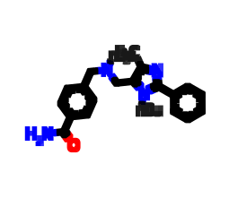 CCCCN(Cc1ccc(C(N)=O)cc1)Cc1c(C(F)(F)F)nc(-c2ccccc2)n1CCCC